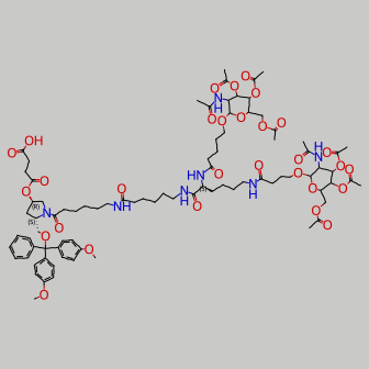 COc1ccc(C(OC[C@@H]2C[C@@H](OC(=O)CCC(=O)O)CN2C(=O)CCCCCNC(=O)CCCCCNC(=O)[C@H](CCCCNC(=O)CCCOC2OC(COC(C)=O)C(OC(C)=O)C(OC(C)=O)C2NC(C)=O)NC(=O)CCCCOC2OC(COC(C)=O)C(OC(C)=O)C(OC(C)=O)C2NC(C)=O)(c2ccccc2)c2ccc(OC)cc2)cc1